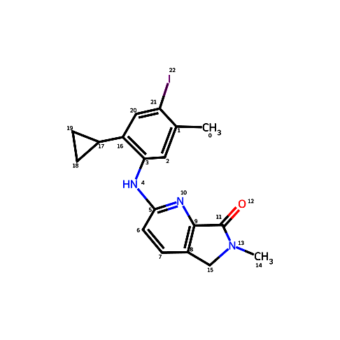 Cc1cc(Nc2ccc3c(n2)C(=O)N(C)C3)c(C2CC2)cc1I